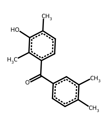 Cc1ccc(C(=O)c2ccc(C)c(O)c2C)cc1C